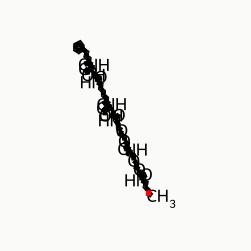 CCCCCNC(=O)COCCOCCNC(=O)COCCOCCNC(=O)CC[C@H](NC(=O)CCCCCNC(=O)CC[C@H](NC(=O)CCCc1ccccc1)C(=O)O)C(=O)O